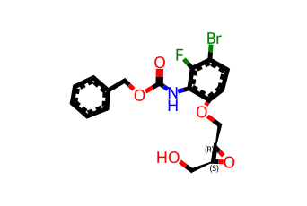 O=C(Nc1c(OC[C@H]2O[C@H]2CO)ccc(Br)c1F)OCc1ccccc1